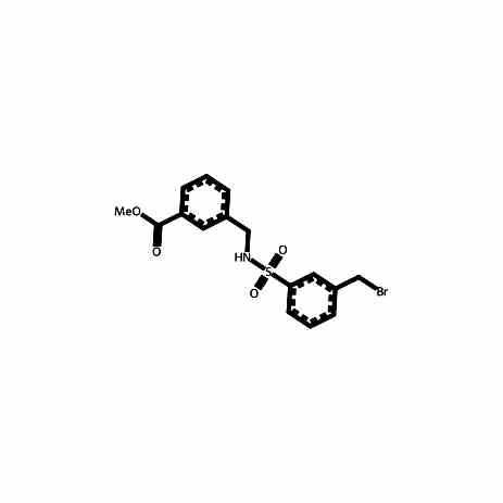 COC(=O)c1cccc(CNS(=O)(=O)c2cccc(CBr)c2)c1